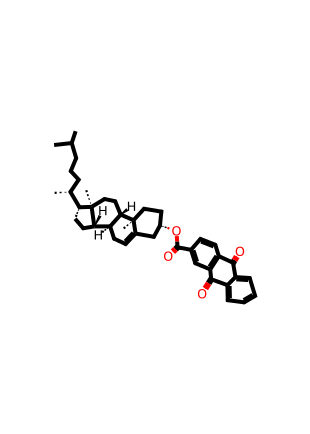 CC(C)CCC[C@@H](C)[C@H]1CC[C@H]2[C@@H]3CC=C4C[C@@H](OC(=O)c5ccc6c(c5)C(=O)c5ccccc5C6=O)CC[C@]4(C)[C@H]3CC[C@]12C